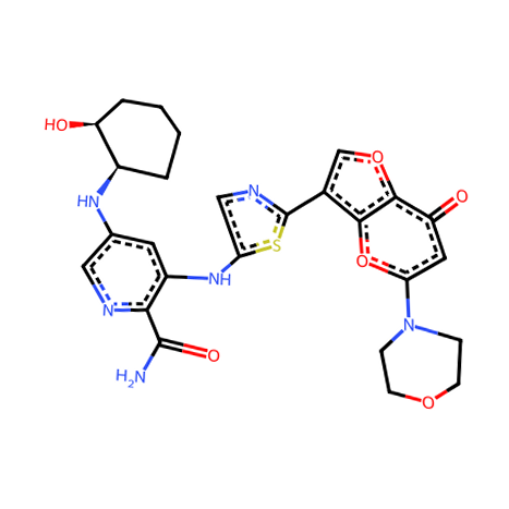 NC(=O)c1ncc(N[C@@H]2CCCC[C@@H]2O)cc1Nc1cnc(-c2coc3c(=O)cc(N4CCOCC4)oc23)s1